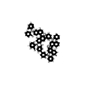 Cc1ccccc1N(c1ccc2c(ccc3oc4ccc5cc(N(c6ccccc6C)c6ccc(-c7cccc(N(c8ccccc8)c8cc9oc%10cc(N(c%11ccccc%11)c%11ccccc%11)c%11ccccc%11c%10c9c9ccccc89)c7)cc6C)ccc5c4c32)c1)c1ccccc1C